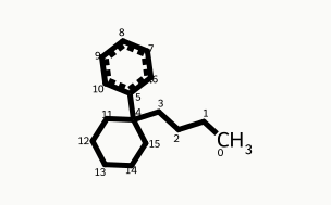 CCCCC1(c2[c]cccc2)CCCCC1